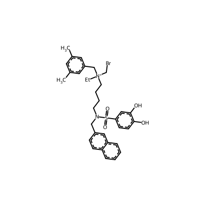 CC[N+](CBr)(CCCCN(Cc1ccc2ccccc2c1)S(=O)(=O)c1ccc(O)c(O)c1)Cc1cc(C)cc(C)c1